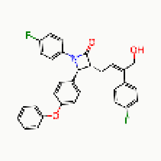 O=C1[C@H](C/C=C(/CO)c2ccc(F)cc2)[C@@H](c2ccc(Oc3ccccc3)cc2)N1c1ccc(F)cc1